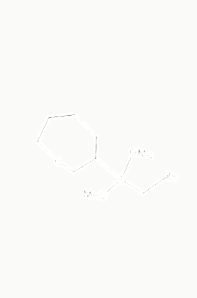 CO[Si](CC(C)C)(OC)C1CCCCCC1